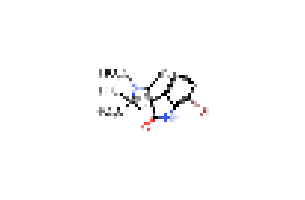 CC(C)(C)C1N(C(=O)O)[C@](C)(C(=O)O)C[C@]12C(=O)Nc1c(Br)cccc12